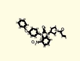 C=CC(=O)N1CCC(n2c(=O)n(-c3ccc(Oc4ccccc4)cc3)c3c([N+](=O)[O-])cccc32)C1